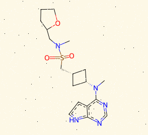 CN(CC1CCCO1)S(=O)(=O)C[C@H]1C[C@@H](N(C)c2ncnc3[nH]ccc23)C1